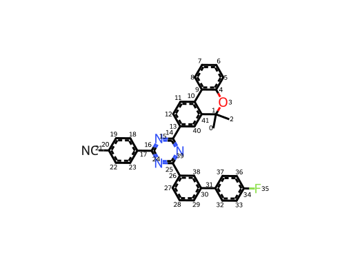 CC1(C)Oc2ccccc2-c2ccc(-c3nc(-c4ccc(C#N)cc4)nc(-c4cccc(-c5ccc(F)cc5)c4)n3)cc21